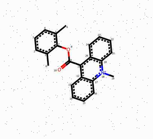 Cc1cccc(C)c1OC(=O)c1c2ccccc2[n+](C)c2ccccc12